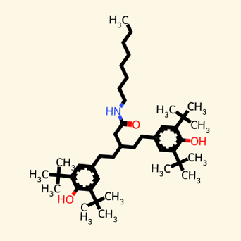 CCCCCCCCNC(=O)CC(CCc1cc(C(C)(C)C)c(O)c(C(C)(C)C)c1)CCc1cc(C(C)(C)C)c(O)c(C(C)(C)C)c1